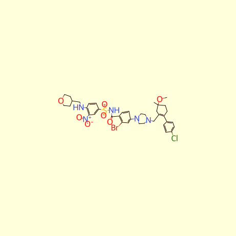 COC1(C)CCC(c2ccc(Cl)cc2)=C(CN2CCN(c3ccc(C(=O)NS(=O)(=O)c4ccc(NCC5CCOCC5)c([N+](=O)[O-])c4)c(Br)c3)CC2)C1